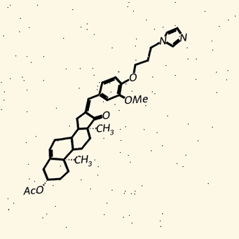 COc1cc(C=C2CC3C4CC=C5C[C@@H](OC(C)=O)CC[C@]5(C)C4CC[C@]3(C)C2=O)ccc1OCCCn1ccnc1